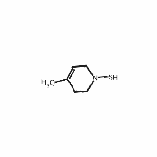 CC1=CCN(S)CC1